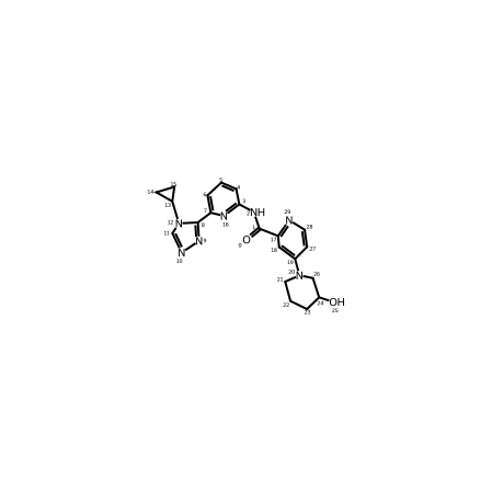 O=C(Nc1cccc(-c2nncn2C2CC2)n1)c1cc(N2CCCC(O)C2)ccn1